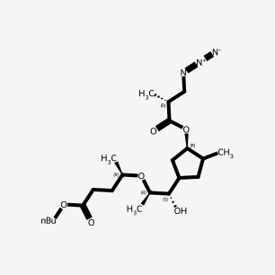 CCCCOC(=O)CC[C@@H](C)O[C@H](C)[C@@H](O)C1CC(C)[C@H](OC(=O)[C@H](C)CN=[N+]=[N-])C1